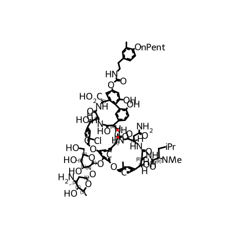 CCCCCOc1ccc(CCNC(=O)Oc2cc(O)c3c(c2)[C@@H](C(=O)O)NC(=O)[C@H]2NC(=O)[C@H](NC(=O)[C@@H]4NC(=O)[C@H](CC(N)=O)NC(=O)[C@H](NC(=O)[C@@H](CC(C)C)NC)[C@H](O)c5ccc(c(C)c5)Oc5cc4cc(c5O[C@@H]4O[C@H](CO)[C@@H](O)[C@H](O)[C@H]4O[C@H]4C[C@](C)(N)[C@H](O)[C@H](C)O4)Oc4ccc(cc4Cl)[C@H]2O)c2ccc(O)c-3c2)cc1C